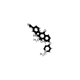 CN1CCC(Oc2ccc3c(c2)C(C)(C)c2[nH]c4cc(C#N)ccc4c2C3=O)CC1